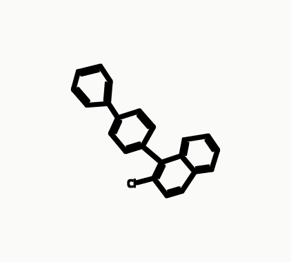 Clc1ccc2ccccc2c1-c1ccc(-c2ccccc2)cc1